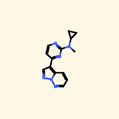 CN(c1nccc(-c2cnn3ncccc23)n1)C1CC1